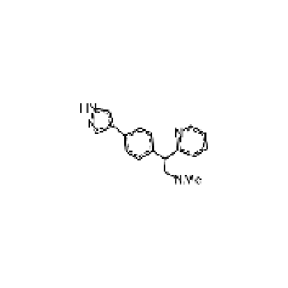 CNCC(c1ccc(-c2cn[nH]c2)cc1)c1ccccn1